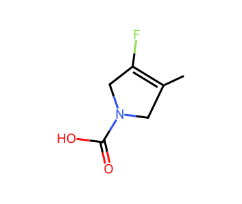 CC1=C(F)CN(C(=O)O)C1